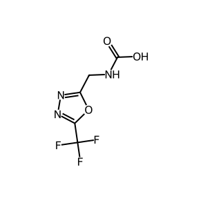 O=C(O)NCc1nnc(C(F)(F)F)o1